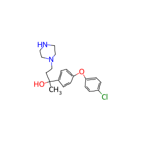 CC(O)(CCN1CCNCC1)c1ccc(Oc2ccc(Cl)cc2)cc1